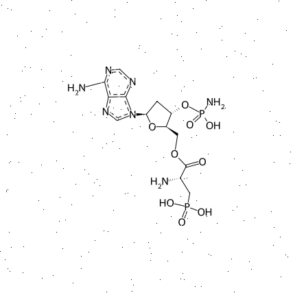 Nc1ncnc2c1ncn2[C@H]1C[C@H](OP(N)(=O)O)[C@@H](COC(=O)[C@@H](N)CP(=O)(O)O)O1